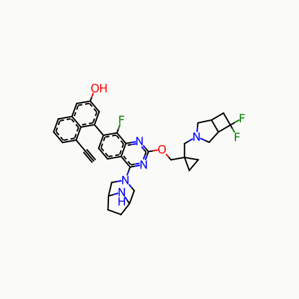 C#Cc1cccc2cc(O)cc(-c3ccc4c(N5CC6CCC(C5)N6)nc(OCC5(CN6CC7CC(F)(F)C7C6)CC5)nc4c3F)c12